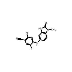 Cn1c(=O)[nH]c2cc(Nc3nc(Cl)c(C#N)cc3F)ccc21